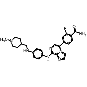 CN1CCC(CNc2ccc(Nc3ncc(-c4ccc(C(N)=O)c(F)c4)n4ccnc34)cc2)CC1